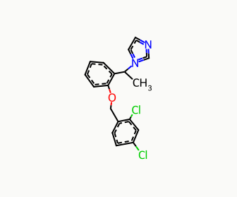 CC(c1ccccc1OCc1ccc(Cl)cc1Cl)n1ccnc1